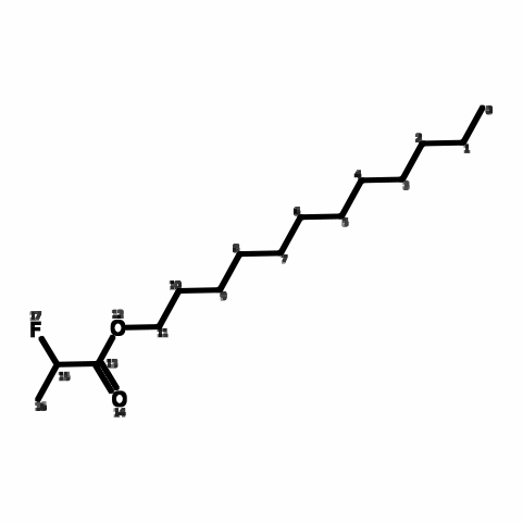 CCCCCCCCCCCCOC(=O)C(C)F